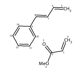 C=CC(=O)OC.C=CC=Cc1ccccc1